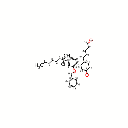 CCCCCCC(C)(C)c1ccc([C@H]2CC(=O)CC[C@@H]2CCCCC=O)c(OCc2ccccc2)c1